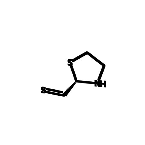 S=C[C@H]1NCCS1